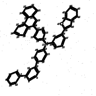 c1ccc(-c2cccc(-c3ccc(N(c4ccc(-c5cc6ccccc6c6ccccc56)cc4)c4cccc(-c5cc6ccccc6o5)c4)cc3)c2)cc1